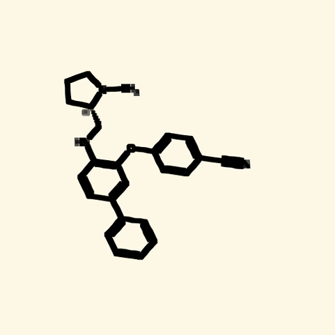 BN1CCC[C@H]1CNc1ccc(-c2ccccc2)cc1Oc1ccc(C#N)cc1